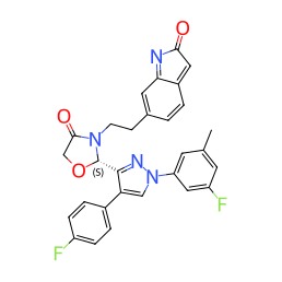 Cc1cc(F)cc(-n2cc(-c3ccc(F)cc3)c([C@@H]3OCC(=O)N3CCc3ccc4c(c3)=NC(=O)C=4)n2)c1